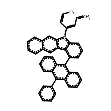 C=C/C=C(\C=C/C)n1c2cc3ccccc3cc2c2c(-c3c4ccccc4c(-c4ccccc4)c4ccccc34)cccc21